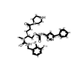 CN(C(=O)NCc1cccc(F)c1F)[C@@H](CCC(=O)N1CCNCC1)COC(=O)Nc1cc(-c2ccccc2)no1